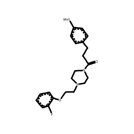 CSc1ccc(CCC(=O)N2CCN(CCOc3ccccc3F)CC2)cc1